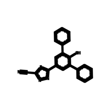 N#Cc1nnc(-c2cc(-c3ccccc3)c(O)c(-c3ccccc3)c2)s1